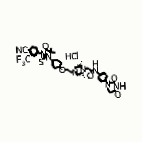 C[C@@H]1CN(CCO[C@H]2CC[C@H](N3C(=S)N(c4ccc(C#N)c(C(F)(F)F)c4)C(=O)C3(C)C)CC2)C[C@H](C)N1CC(=O)Nc1ccc(N2CCC(=O)NC2=O)cc1.Cl